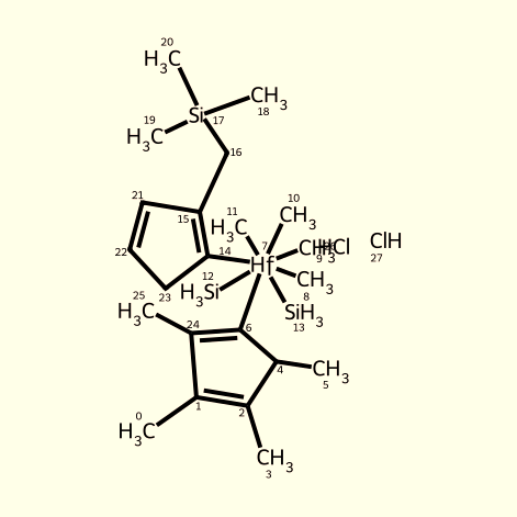 CC1=C(C)C(C)[C]([Hf]([CH3])([CH3])([CH3])([CH3])([SiH3])([SiH3])[C]2=C(C[Si](C)(C)C)C=CC2)=C1C.Cl.Cl